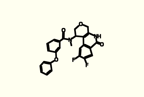 CN(C(=O)c1cccc(Oc2ccccc2)c1)C1COCc2[nH]c(=O)c3cc(F)c(F)cc3c21